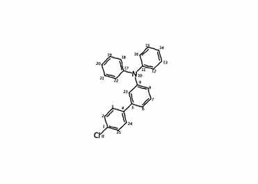 Clc1ccc(-c2cccc(N(c3ccccc3)c3ccccc3)c2)cc1